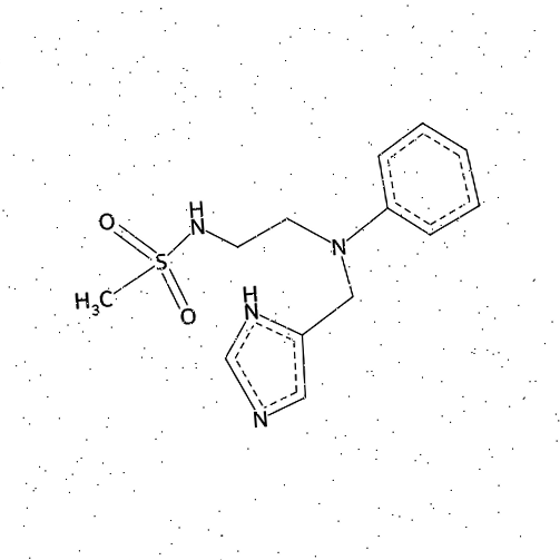 CS(=O)(=O)NCCN(Cc1cnc[nH]1)c1ccccc1